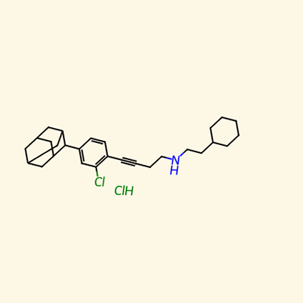 Cl.Clc1cc(C2C3CC4CC(C3)CC2C4)ccc1C#CCCNCCC1CCCCC1